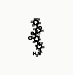 NCC1CCN(c2ccc(C(=O)N3CCOC(c4ccccc4)C3)c(Cl)c2)CC1